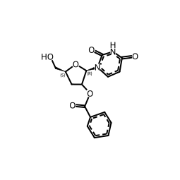 O=C(OC1C[C@@H](CO)O[C@H]1n1ccc(=O)[nH]c1=O)c1ccccc1